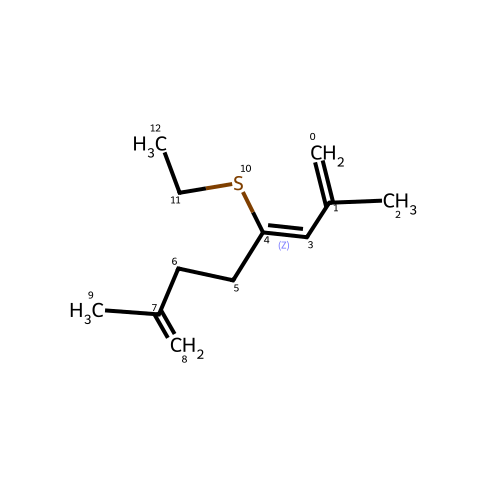 C=C(C)/C=C(/CCC(=C)C)SCC